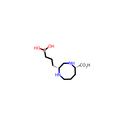 O=C(O)[C@@H]1CCCN[C@H](CCCB(O)O)CN1